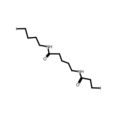 O=C(CCI)NCCCCC(=O)NCCCCI